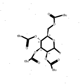 CC(C)(C)C(=O)OC[C@H]1OC(F)[C@@H](OC(=O)C(C)(C)C)[C@@H](OC(=O)C(C)(C)C)[C@@H]1OC(=O)C(C)(C)C